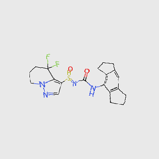 O=C(/N=[SH](=O)/c1cnn2c1C(F)(F)CCC2)Nc1c2c(cc3c1CCC3)CCC2